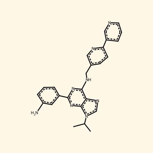 CC(C)n1cnc2c(NCc3ccc(-c4cccnc4)nc3)nc(-c3cccc(N)c3)nc21